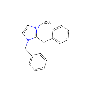 CCCCCCCC[n+]1ccn(Cc2ccccc2)c1Cc1ccccc1